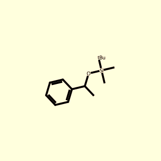 CC(O[Si](C)(C)C(C)(C)C)c1ccccc1